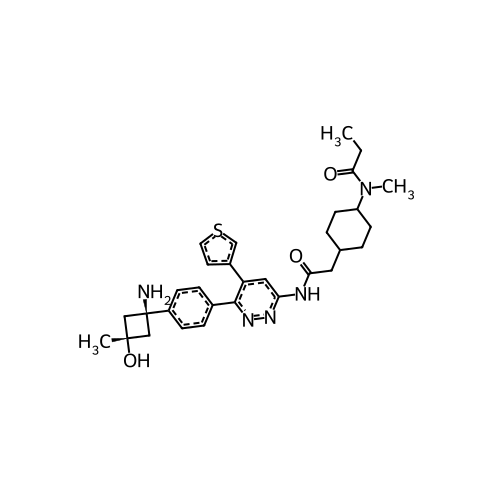 CCC(=O)N(C)C1CCC(CC(=O)Nc2cc(-c3ccsc3)c(-c3ccc([C@]4(N)C[C@](C)(O)C4)cc3)nn2)CC1